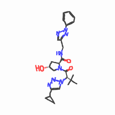 CC(C)(C)[C@@H](C(=O)N1C[C@H](O)C[C@H]1C(=O)NCc1cnn(-c2ccccc2)n1)n1cc(C2CC2)nn1